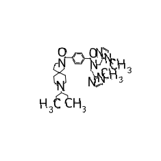 CCC(CC)N1CCC2(CCN(C(=O)c3ccc(C(=O)N(Cc4nccn4C)Cc4nccn4C)cc3)C2)CC1